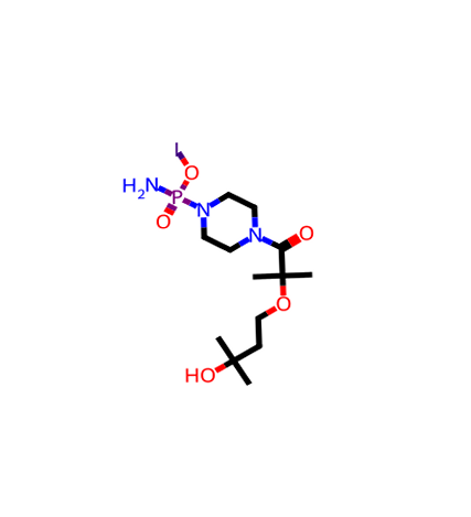 CC(C)(O)CCOC(C)(C)C(=O)N1CCN(P(N)(=O)OI)CC1